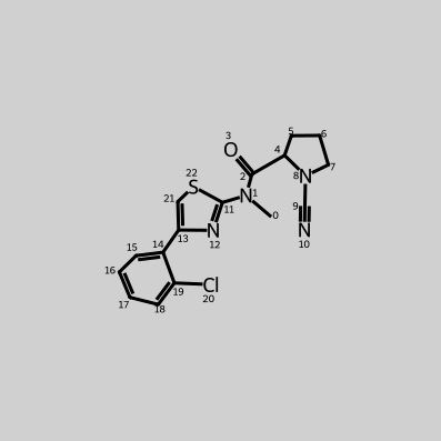 CN(C(=O)C1CCCN1C#N)c1nc(-c2ccccc2Cl)cs1